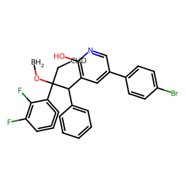 BOC(CC=O)(C1=C=C=CC(F)=C1F)C(c1ccccc1)c1cc(-c2ccc(Br)cc2)cnc1O